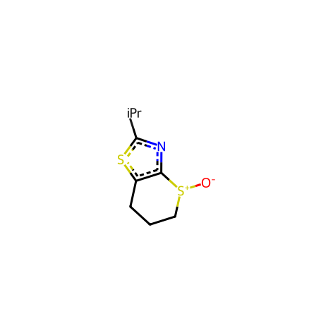 CC(C)c1nc2c(s1)CCC[S+]2[O-]